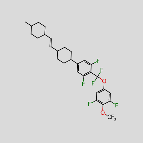 CC1CCC(/C=C/C2CCC(c3cc(F)c(C(F)(F)Oc4cc(F)c(OC(F)(F)F)c(F)c4)c(F)c3)CC2)CC1